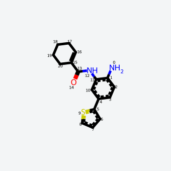 Nc1ccc(-c2cccs2)cc1NC(=O)C1=CCCCC1